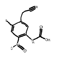 N#CCc1cc(NC(=O)O)c([N+](=O)[O-])cc1I